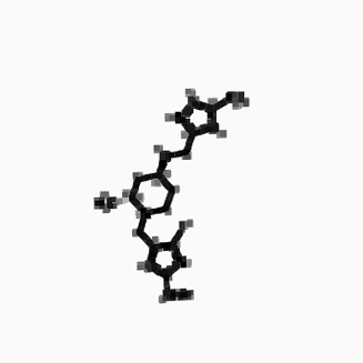 CC(=O)Nc1nc(F)c(CN2CC[C@H](OCc3nnc(C)o3)C[C@H]2C)s1